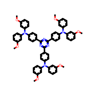 COc1cccc(N(c2ccc(-c3nc(-c4ccc(N(c5cccc(OC)c5)c5cccc(OC)c5)cc4)nc(-c4ccc(N(c5cccc(OC)c5)c5cccc(OC)c5)cc4)n3)cc2)c2cccc(OC)c2)c1